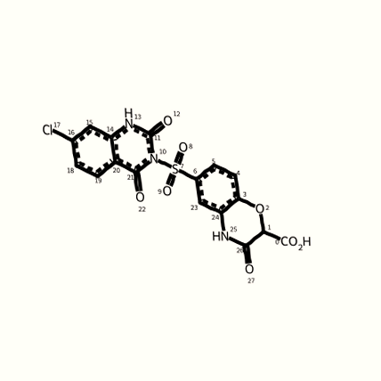 O=C(O)C1Oc2ccc(S(=O)(=O)n3c(=O)[nH]c4cc(Cl)ccc4c3=O)cc2NC1=O